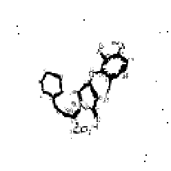 O=C(O)[C@H](CC1CCCCC1)N1CC(Oc2c(F)ccc(Cl)c2F)=CC1=O